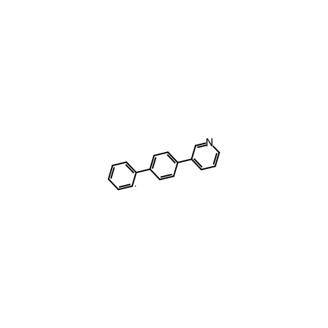 [c]1ccccc1-c1ccc(-c2cccnc2)cc1